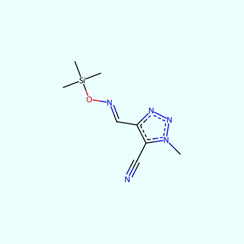 Cn1nnc(C=NO[Si](C)(C)C)c1C#N